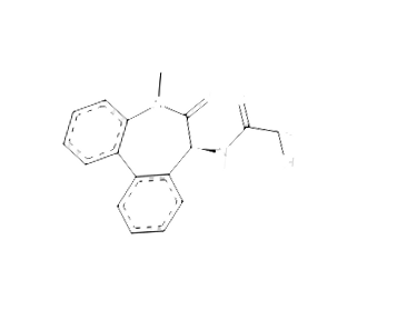 C[C@H](O)C(=O)N[C@@H]1C(=O)N(C)c2ccccc2-c2ccccc21